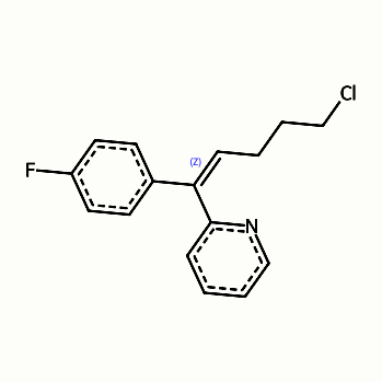 Fc1ccc(/C(=C/CCCCl)c2ccccn2)cc1